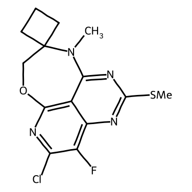 CSc1nc2c3c(nc(Cl)c(F)c3n1)OCC1(CCC1)N2C